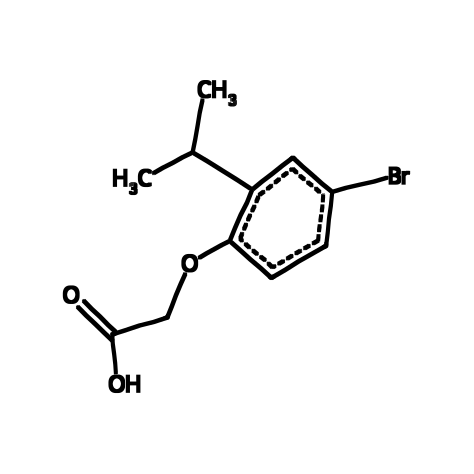 CC(C)c1cc(Br)ccc1OCC(=O)O